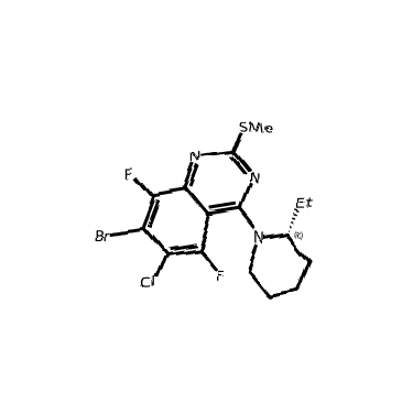 CC[C@@H]1CCCCN1c1nc(SC)nc2c(F)c(Br)c(Cl)c(F)c12